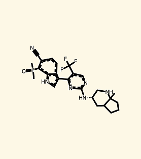 CC12CCCC1C[C@H](Nc1ncc(C(F)(F)F)c(-c3c[nH]c4c(P(C)(C)=O)c(C#N)ccc34)n1)CN2